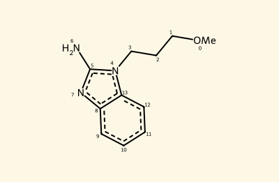 COCCCn1c(N)nc2ccccc21